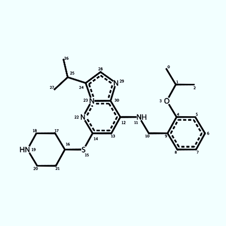 CC(C)Oc1ccccc1CNc1cc(SC2CCNCC2)nn2c(C(C)C)cnc12